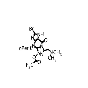 CCCCCN1c2nc(Br)[nH]c2C(=O)N2C(CN(C)C)=NN(OC(=O)C(F)(F)F)C21